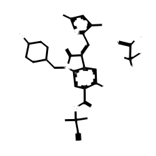 C#CC(C)(C)NC(=O)c1cc2c(cc1F)/C(=C/c1[nH]c(C)cc1C)C(=O)N2CC1CCC(N)CC1.O=C(O)C(F)(F)F